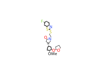 COc1ccc([C@@H]2CC(=O)N(CCSc3nc4ccc(F)cc4s3)C2)cc1OC1CCCO1